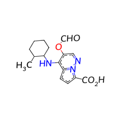 CC1CCCCC1Nc1c(OC=O)cnn2c(C(=O)O)ccc12